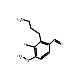 CCCCc1c(C=O)ccc(OC)c1F